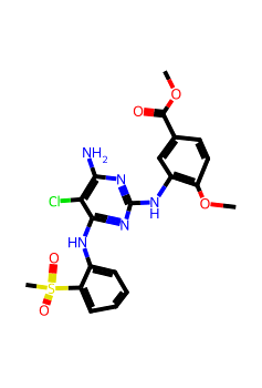 COC(=O)c1ccc(OC)c(Nc2nc(N)c(Cl)c(Nc3ccccc3S(C)(=O)=O)n2)c1